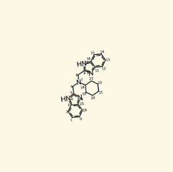 c1ccc2[nH]c(CN(Cc3nc4ccccc4[nH]3)C3CCCCC3)nc2c1